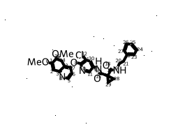 COC1=Cc2nccc(Oc3ncc(NC(=O)C4(C(=O)NCCc5ccccc5)CC4)cc3Cl)c2CC1OC